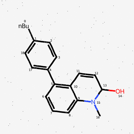 CCCCc1ccc(-c2cccc3c2C=CC(O)N3C)cc1